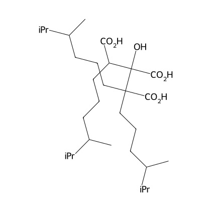 CC(C)C(C)CCCC(C(=O)O)C(O)(C(=O)O)C(CCCC(C)C(C)C)(CCCC(C)C(C)C)C(=O)O